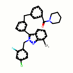 O=C(c1cccc(Cc2cccc(-c3c4cccc(C(F)(F)F)c4nn3Cc3ccc(Cl)cc3F)c2)c1)N1CCCCC1